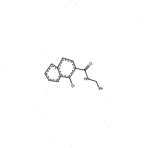 CC(C)CNC(=O)c1ccc2ccccc2c1[O]